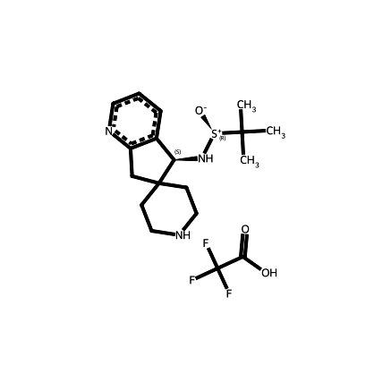 CC(C)(C)[S@+]([O-])N[C@@H]1c2cccnc2CC12CCNCC2.O=C(O)C(F)(F)F